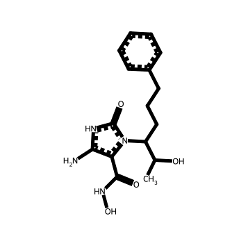 CC(O)C(CCCc1ccccc1)n1c(C(=O)NO)c(N)[nH]c1=O